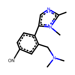 Cc1ncc(-c2ccc(N=O)cc2CN(C)C)n1C